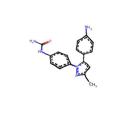 Cc1cc(-c2ccc(N)cc2)n(-c2ccc(NC(N)=O)cc2)n1